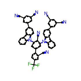 N#Cc1cc(C#N)cc(-c2ccc3c(c2)c2ccccc2n3-c2cc(-c3ccc(C(F)(F)F)cc3C#N)cc(-n3c4ccccc4c4cc(-c5cc(C#N)cc(C#N)c5)ccc43)c2C#N)c1